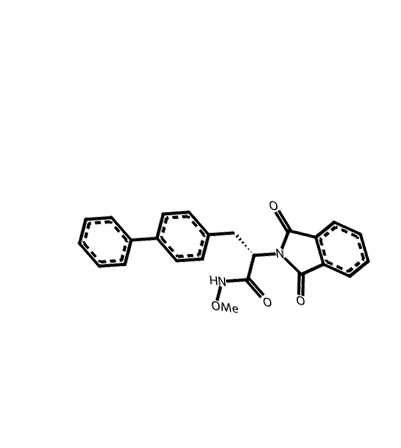 CONC(=O)[C@H](Cc1ccc(-c2ccccc2)cc1)N1C(=O)c2ccccc2C1=O